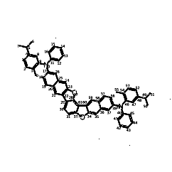 Cc1ccc(C(C)C)cc1N(c1ccccc1)c1ccc2cc3c(cc2c1)oc1c3ccc2oc3cc4cc(N(c5ccccc5)c5cc(C(C)C)ccc5C)ccc4cc3c21